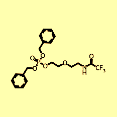 O=C(NCCOCCOP(=O)(OCc1ccccc1)OCc1ccccc1)C(F)(F)F